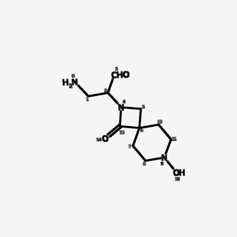 NCC(C=O)N1CC2(CCN(O)CC2)C1=O